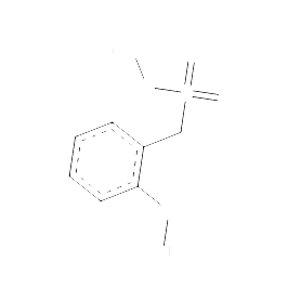 CCCCOc1ccccc1CS(=O)(=O)OCCC